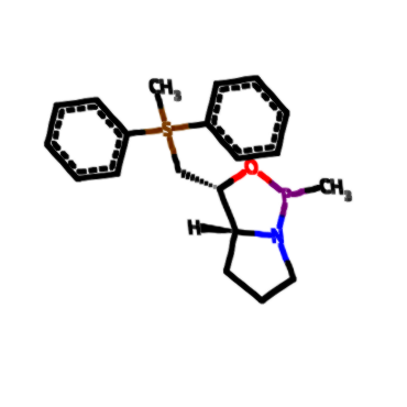 CP1O[C@@H](CS(C)(c2ccccc2)c2ccccc2)[C@H]2CCCN21